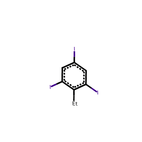 [CH2]Cc1c(I)cc(I)cc1I